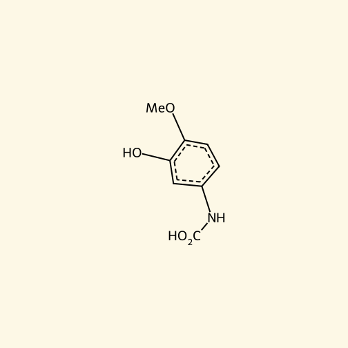 COc1ccc(NC(=O)O)cc1O